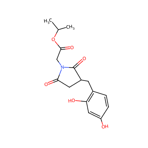 CC(C)OC(=O)CN1C(=O)CC(Cc2ccc(O)cc2O)C1=O